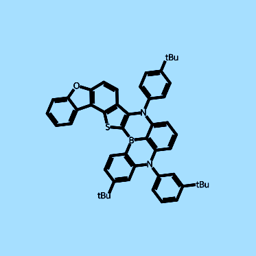 CC(C)(C)c1ccc(N2c3cccc4c3B(c3ccc(C(C)(C)C)cc3N4c3cccc(C(C)(C)C)c3)c3sc4c(ccc5oc6ccccc6c54)c32)cc1